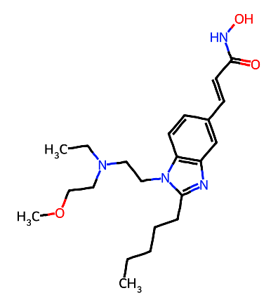 CCCCCc1nc2cc(/C=C/C(=O)NO)ccc2n1CCN(CC)CCOC